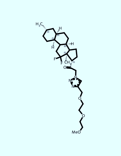 COCCOCCOCc1cn(CC(=O)[C@H]2CCC3[C@@H]4CC[C@@H]5C[C@@H](C)CC[C@@H]5C4CC(F)(F)[C@@]32C)nn1